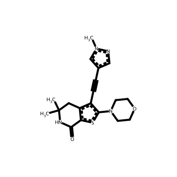 Cn1cc(C#Cc2c(N3CCOCC3)sc3c2CC(C)(C)NC3=O)cn1